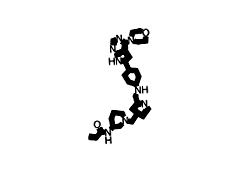 C=CC(=O)NC1CCCN(Cc2ccnc(CNC3CCC(c4cc5c(N6CCOCC6)ncnc5[nH]4)CC3)c2)C1